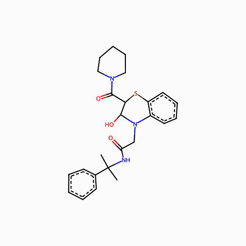 CC(C)(NC(=O)CN1c2ccccc2SC(C(=O)N2CCCCC2)C1O)c1ccccc1